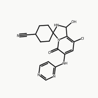 N#CC1CCC2(CC1)NC(O)c1c(Cl)cc(Nc3ccncn3)c(=O)n12